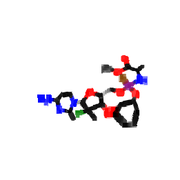 C=C1N=C(N)C=CN1[C@@H]1O[C@H](COP(=S)(NC(C)C(=O)OC(C)C)Oc2ccccc2)C(O)C1(C)F